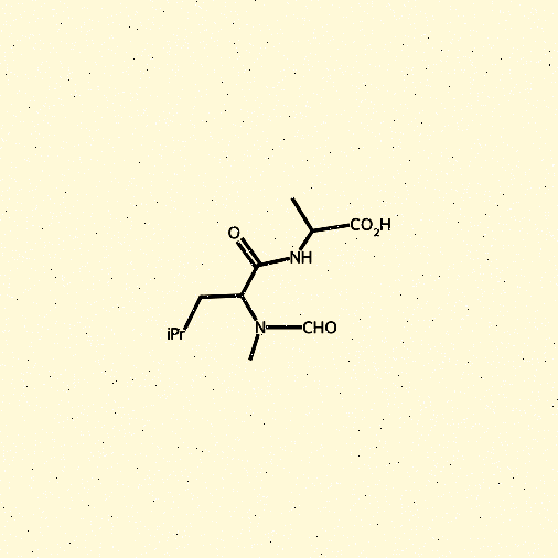 CC(C)CC(C(=O)NC(C)C(=O)O)N(C)C=O